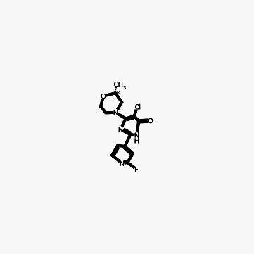 C[C@@H]1CN(c2nc(-c3ccnc(F)c3)[nH]c(=O)c2Cl)CCO1